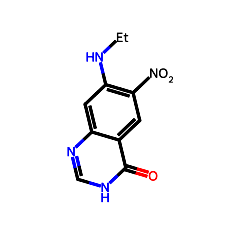 CCNc1cc2nc[nH]c(=O)c2cc1[N+](=O)[O-]